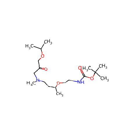 CC(C)OCC(=O)CN(C)CCC(C)OCCNC(=O)OC(C)(C)C